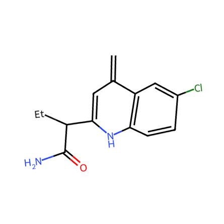 C=C1C=C(C(CC)C(N)=O)Nc2ccc(Cl)cc21